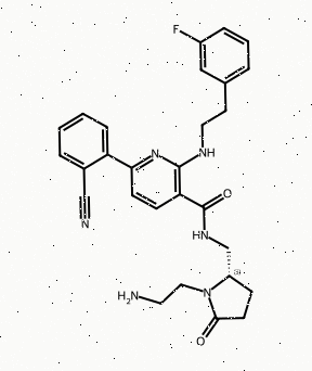 N#Cc1ccccc1-c1ccc(C(=O)NC[C@@H]2CCC(=O)N2CCN)c(NCCc2cccc(F)c2)n1